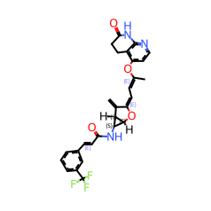 C=C1/C(=C\C=C(/C)Oc2ccnc3c2CCC(=O)N3)O[C@@H]2[C@@H](NC(=O)/C=C/c3cccc(C(F)(F)F)c3)[C@H]12